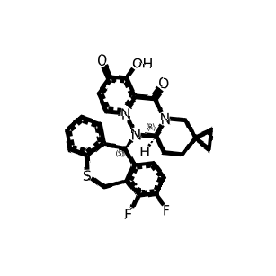 O=C1c2c(O)c(=O)ccn2N([C@@H]2c3ccccc3SCc3c2ccc(F)c3F)[C@@H]2CCC3(CC3)CN12